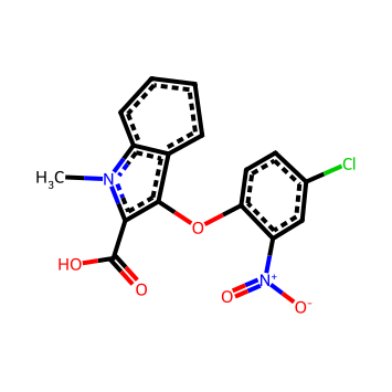 Cn1c(C(=O)O)c(Oc2ccc(Cl)cc2[N+](=O)[O-])c2ccccc21